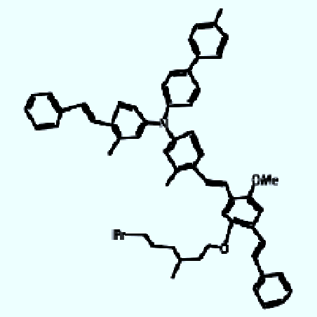 COc1cc(C=Cc2ccccc2)c(OCCC(C)CCCC(C)C)cc1C=Cc1ccc(N(c2ccc(-c3ccc(C)cc3)cc2)c2ccc(C=Cc3ccccc3)c(C)c2)cc1C